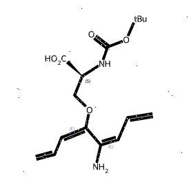 C=C/C=C(N)\C(=C/C=C)OC[C@H](NC(=O)OC(C)(C)C)C(=O)O